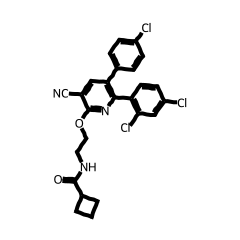 N#Cc1cc(-c2ccc(Cl)cc2)c(-c2ccc(Cl)cc2Cl)nc1OCCNC(=O)C1CCC1